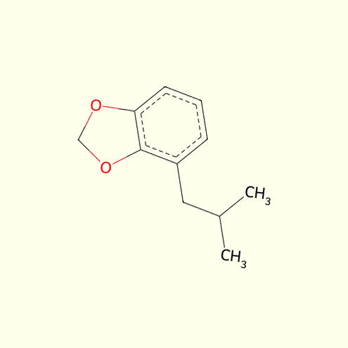 CC(C)Cc1cccc2c1OCO2